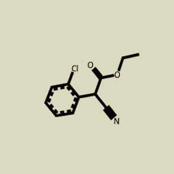 CCOC(=O)C(C#N)c1ccccc1Cl